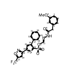 COc1cccc(CC(=O)NN=COS(=O)(=O)c2sc(-c3cc(C(F)(F)F)on3)cc2-c2ccccc2)c1